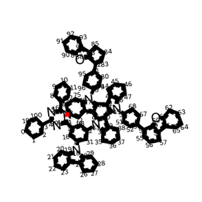 c1ccc(-c2nc(-c3ccccc3)nc(-c3cc(-n4c5ccccc5c5ccccc54)cc(-n4c5ccccc5c5c6c(c7ccccc7n6-c6ccc(-c7cccc8c7oc7ccccc78)cc6)c6c(c7ccccc7n6-c6ccc(-c7cccc8c7oc7ccccc78)cc6)c54)c3)n2)cc1